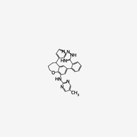 Cc1cnc(Nc2cc(-c3ccccc3C(=N)NN)cc3c2OCCCC3c2ccccc2)nc1